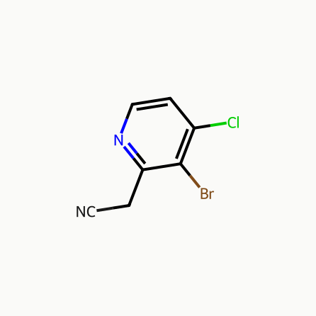 N#CCc1nccc(Cl)c1Br